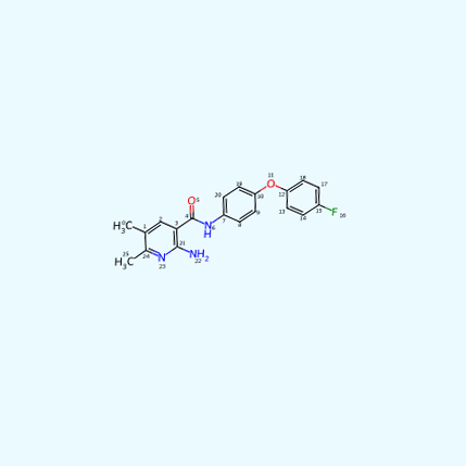 Cc1cc(C(=O)Nc2ccc(Oc3ccc(F)cc3)cc2)c(N)nc1C